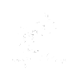 COCCOc1ccc2c(C(N)=O)cn(CC(=O)N3CCC[C@H]3C(=O)NCc3cccc(Cl)c3F)c2c1